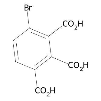 O=C(O)c1ccc(Br)c(C(=O)O)c1C(=O)O